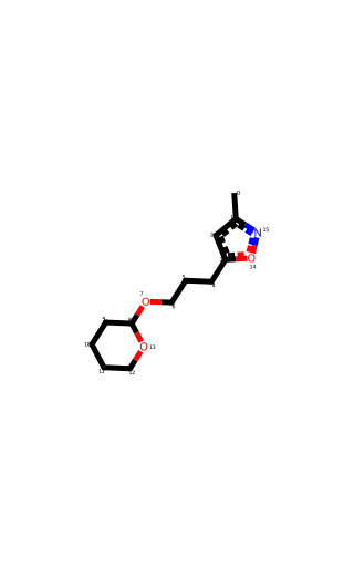 Cc1cc(CCCOC2CCCCO2)on1